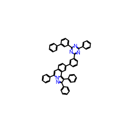 c1ccc(-c2cccc(-c3nc(-c4ccccc4)nc(-c4cccc(-c5ccc6cc(-c7ccccc7)n7nc(-c8ccccc8)c(-c8ccccc8)c7c6c5)c4)n3)c2)cc1